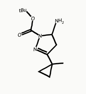 CC(C)(C)OC(=O)N1N=C(C2(C)CC2)CC1N